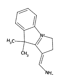 CC1(C)C2=[N+](CC/C2=C\N)c2ccccc21